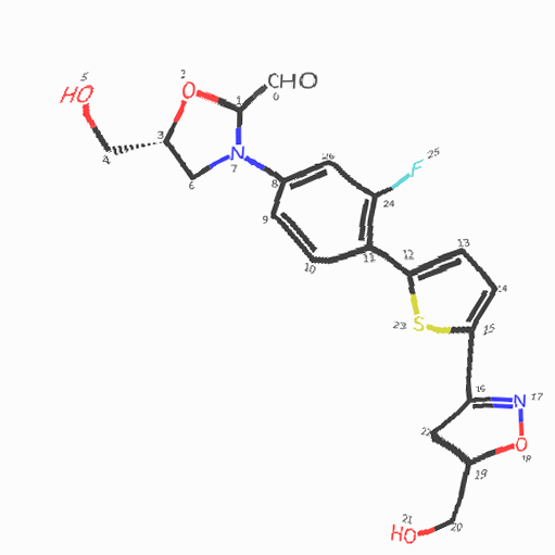 O=CC1O[C@@H](CO)CN1c1ccc(-c2ccc(C3=NOC(CO)C3)s2)c(F)c1